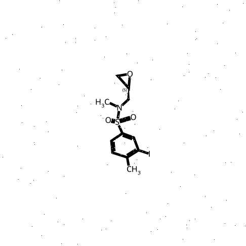 Cc1ccc(S(=O)(=O)N(C)C[C@H]2CO2)cc1I